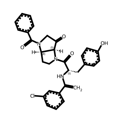 C=C(N[C@@H](Cc1ccc(O)cc1)C(=O)N1CC[C@@H]2[C@H]1C(=O)CN2C(=O)c1ccccc1)c1cccc(Cl)c1